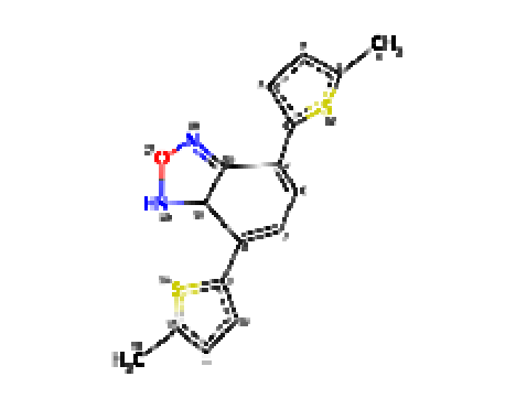 Cc1ccc(C2=CC=C(c3ccc(C)s3)C3NON=C23)s1